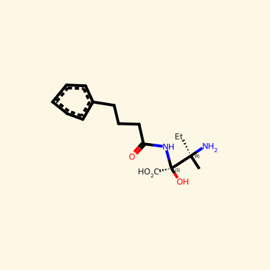 CC[C@@](C)(N)[C@@](O)(NC(=O)CCCc1ccccc1)C(=O)O